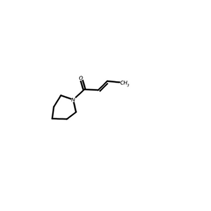 CC=CC(=O)N1C[CH]CCC1